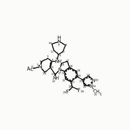 CC(=O)N1CCC(NC2CCNCC2)=C(C(=N)N2CCc3cc(-c4cnn(C)c4)c(C(F)F)cc32)C1